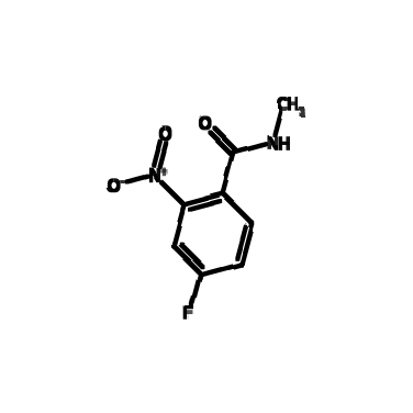 CNC(=O)c1ccc(F)cc1[N+](=O)[O-]